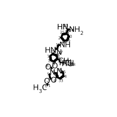 CCOC(=O)CN(C(=O)Oc1ccc2[nH]c(CNc3ccc(C(=N)N)cc3)nc2c1C)c1ccccn1.Cl.Cl